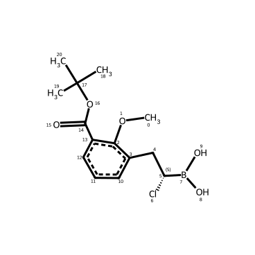 COc1c(C[C@@H](Cl)B(O)O)cccc1C(=O)OC(C)(C)C